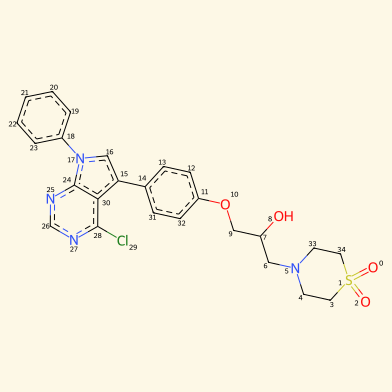 O=S1(=O)CCN(CC(O)COc2ccc(-c3cn(-c4ccccc4)c4ncnc(Cl)c34)cc2)CC1